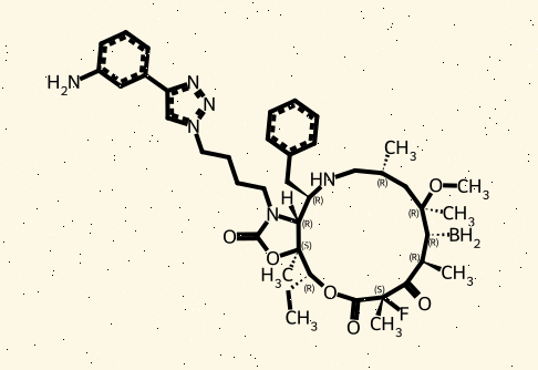 B[C@@H]1[C@@H](C)C(=O)[C@](C)(F)C(=O)O[C@H](CC)[C@@]2(C)OC(=O)N(CCCCn3cc(-c4cccc(N)c4)nn3)[C@@H]2[C@@H](Cc2ccccc2)NC[C@H](C)C[C@@]1(C)OC